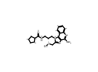 CCOCc1nc2c(N)nc3ccccc3c2n1CCCNC(=O)C1CCCC1